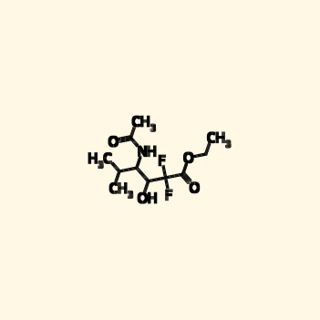 CCOC(=O)C(F)(F)C(O)C(NC(C)=O)C(C)C